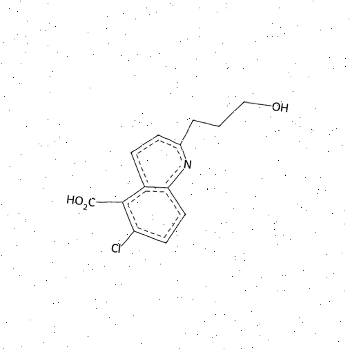 O=C(O)c1c(Cl)ccc2nc(CCCO)ccc12